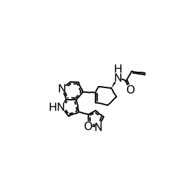 C=CC(=O)N[C@H]1CCC=C(c2ccnc3[nH]cc(-c4ccno4)c23)C1